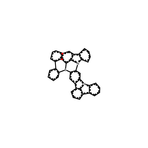 c1ccc(-c2ccccc2B2c3cc4c5cccc6c7ccccc7n(c4cc3-n3c4ccccc4c4cccc2c43)c65)cc1